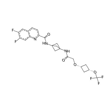 O=C(CO[C@H]1C[C@@H](OC(F)(F)F)C1)NC12CC(NC(=O)c3ccc4cc(F)c(F)cc4n3)(C1)C2